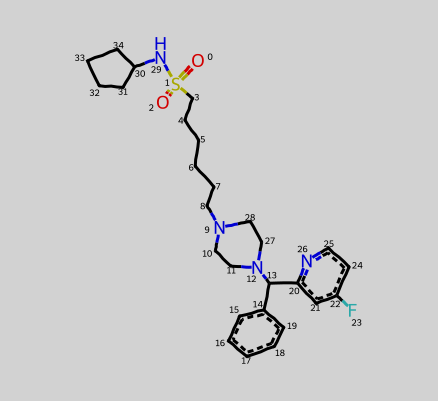 O=S(=O)(CCCCCCN1CCN(C(c2ccccc2)c2cc(F)ccn2)CC1)NC1CCCC1